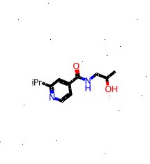 CC(O)CNC(=O)c1ccnc(C(C)C)c1